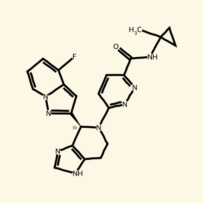 CC1(NC(=O)c2ccc(N3CCc4[nH]cnc4[C@H]3c3cc4c(F)cccn4n3)nn2)CC1